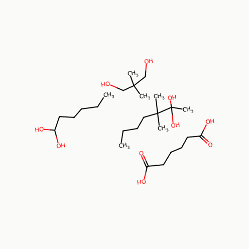 CC(C)(CO)CO.CCCCC(C)(C)C(C)(O)O.CCCCCC(O)O.O=C(O)CCCCC(=O)O